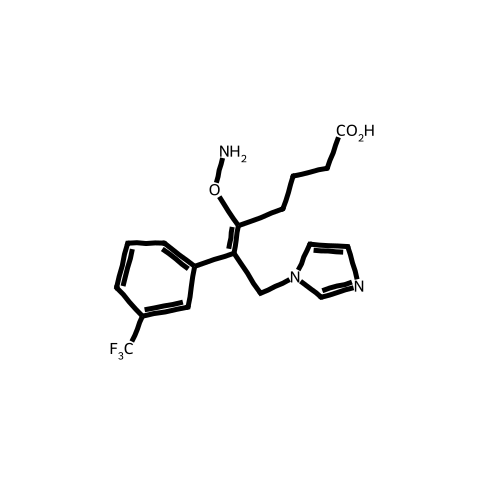 NOC(CCCC(=O)O)=C(Cn1ccnc1)c1cccc(C(F)(F)F)c1